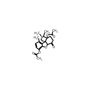 CC(=O)Oc1ccc(C)c2c1OC1C(=O)CC[C@@]3(OC(C)=O)C(C)N(C)CC[C@]213